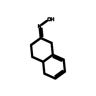 ON=C1CCC2CC=CC=C2C1